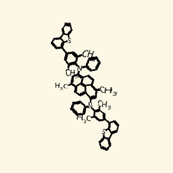 Cc1cc(-c2cccc3c2sc2ccccc23)cc(C)c1N(c1ccccc1)c1cc(C)c2ccc3c(N(c4ccccc4)c4c(C)cc(-c5cccc6c5sc5ccccc56)cc4C)cc(C)c4ccc1c2c43